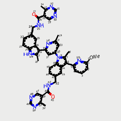 COc1cccc(-c2c(C)n(-c3cc(C)nc(-c4c(C)[nH]c5ccc(CNC(=O)c6cncnc6C)cc45)c3)c3ccc(CNC(=O)c4cncnc4C)cc23)n1